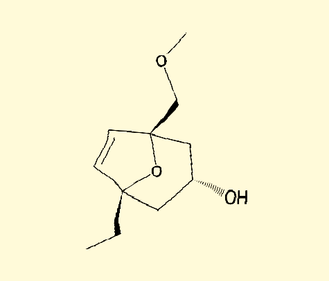 CC[C@]12C=C[C@](COC)(C[C@H](O)C1)O2